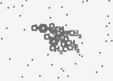 CCOC(=O)c1c(N(C)CC(=O)c2ccc(Cl)cc2)c2c(Cl)cc(Cl)cc2n1C(=O)OC(C)(C)C